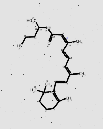 CC(C=CC1=C(C)CCCC1(C)C)=CC=C/C(C)=C\C(=O)N[C@@H](CCS)C(=O)O